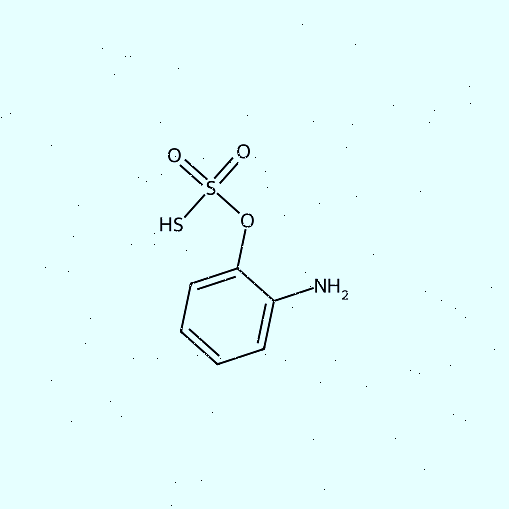 Nc1ccccc1OS(=O)(=O)S